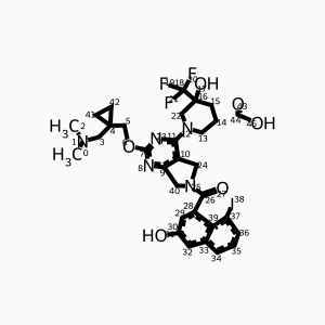 CN(C)CC1(COc2nc3c(c(N4CCCC(O)(C(F)(F)F)C4)n2)CN(C(=O)c2cc(O)cc4cccc(I)c24)C3)CC1.O=CO